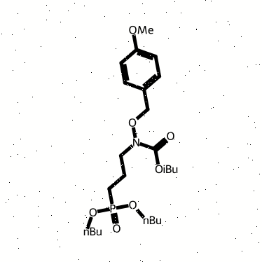 CCCCOP(=O)(CCCN(OCc1ccc(OC)cc1)C(=O)OCC(C)C)OCCCC